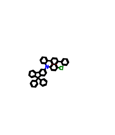 Clc1ccc(N(c2ccc3c(c2)-c2ccccc2C3(c2ccccc2)c2ccccc2)c2ccccc2-c2ccc(-c3ccccc3)cc2)cc1